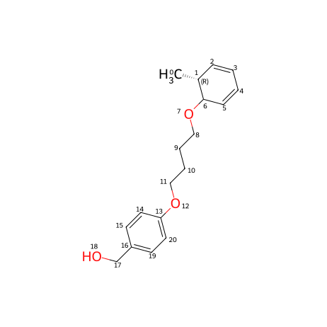 C[C@@H]1C=CC=CC1OCCCCOc1ccc(CO)cc1